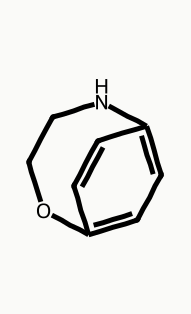 c1cc2ccc1NCCO2